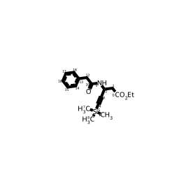 CCOC(=O)CC(C#C[Si](C)(C)C)NC(=O)Cc1ccccc1